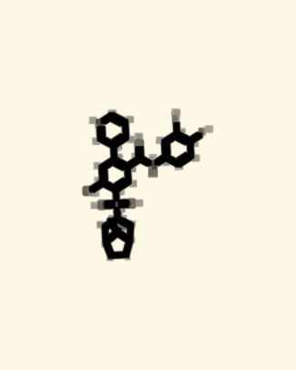 CC1(O)C2CCC1CC(S(=O)(=O)c1cc(C(=O)Nc3ccc(F)c(F)c3)c(-c3cccnc3)cc1Cl)C2